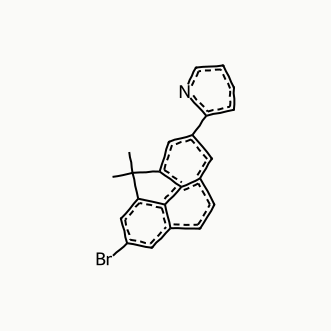 CC1(C)c2cc(Br)cc3ccc4cc(-c5ccccn5)cc1c4c23